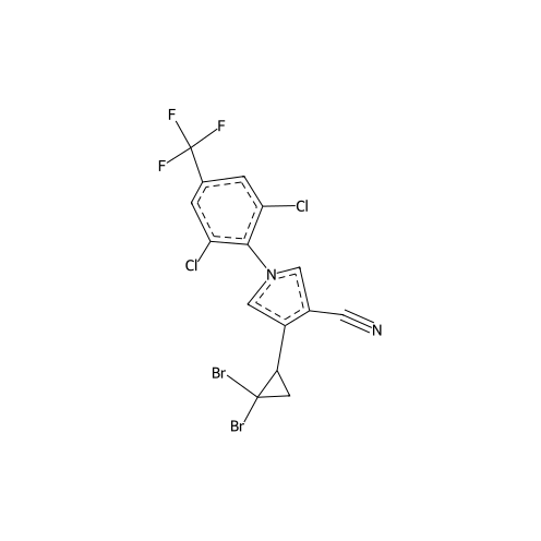 N#Cc1cn(-c2c(Cl)cc(C(F)(F)F)cc2Cl)cc1C1CC1(Br)Br